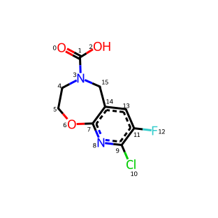 O=C(O)N1CCOc2nc(Cl)c(F)cc2C1